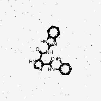 CC(C)c1ccccc1NC(=O)c1nc[nH]c1C(=O)Nc1nc2ccccc2[nH]1